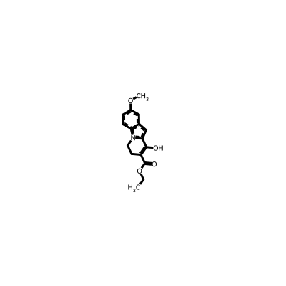 CCOC(=O)C1=C(O)c2cc3cc(OC)ccc3n2CC1